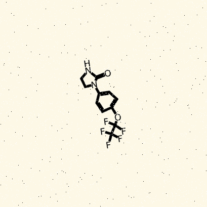 O=C1NCCN1c1ccc(OC(F)(F)C(F)(F)F)cc1